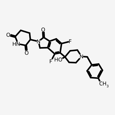 Cc1ccc(CN2CCC(O)(c3c(F)cc4c(c3F)CN(C3CCC(=O)NC3=O)C4=O)CC2)cc1